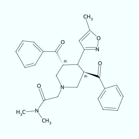 Cc1cc(C2[C@@H](C(=O)c3ccccc3)CN(CC(=O)N(C)C)C[C@@H]2C(=O)c2ccccc2)no1